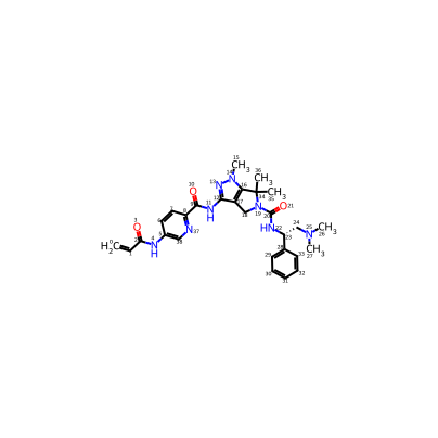 C=CC(=O)Nc1ccc(C(=O)Nc2nn(C)c3c2CN(C(=O)N[C@H](CN(C)C)c2ccccc2)C3(C)C)nc1